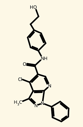 Cc1nn(-c2ccccc2)c2ncc(C(=O)Nc3ccc(CCO)cc3)c(Cl)c12